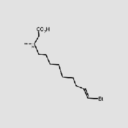 CCC=CCCCCCCC[C@H](C)CC(=O)O